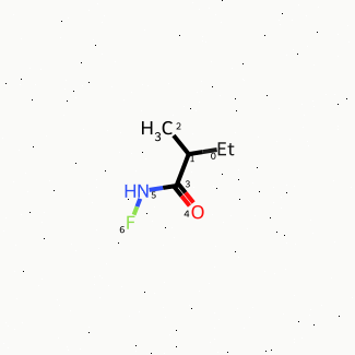 CCC(C)C(=O)NF